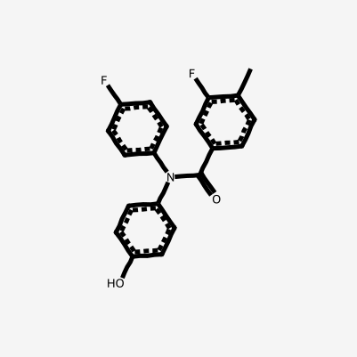 Cc1ccc(C(=O)N(c2ccc(O)cc2)c2ccc(F)cc2)cc1F